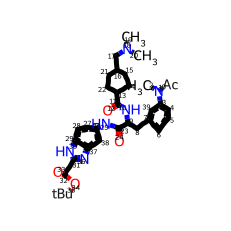 CC(=O)N(C)c1cccc(CC(NC(=O)C2CCC(CN(C)C)CC2)C(=O)Nc2ccc3[nH]c(C(=O)OC(C)(C)C)nc3c2)c1